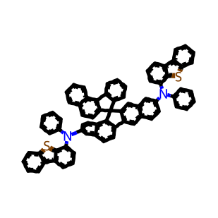 c1ccc(N(c2ccc3cc4c(cc3c2)C2(c3ccccc3-c3c2ccc2ccccc32)c2c-4ccc3cc(N(c4ccccc4)c4cccc5c4sc4ccccc45)ccc23)c2cccc3c2sc2ccccc23)cc1